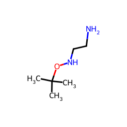 CC(C)(C)ONCCN